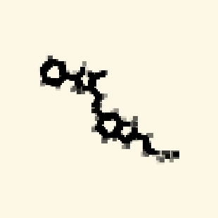 Cc1oc(-c2ccccc2)nc1COc1ccc2cc(C=CC(=O)O)oc2c1